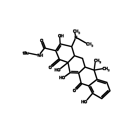 CN(C)C1C(O)=C(C(=O)NC(C)(C)C)C(=O)C2(O)C(O)=C3C(=O)c4c(O)cccc4C(C)(C)C3CC12